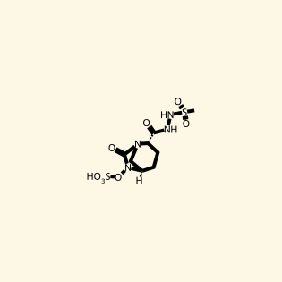 CS(=O)(=O)NNC(=O)[C@@H]1CC[C@@H]2CN1C(=O)N2OS(=O)(=O)O